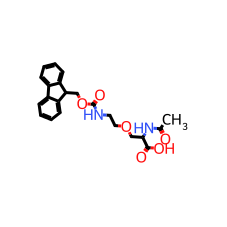 CC(=O)NC(COCCNC(=O)OCC1c2ccccc2-c2ccccc21)C(=O)O